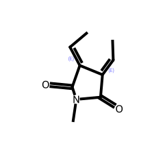 C/C=C1/C(=O)N(C)C(=O)/C1=C/C